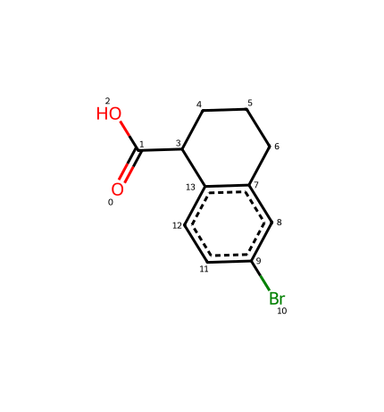 O=C(O)C1CCCc2cc(Br)ccc21